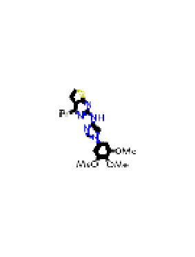 COc1cc(-n2cnc(Nc3nc(C(C)C)c4ccsc4n3)c2)cc(OC)c1OC